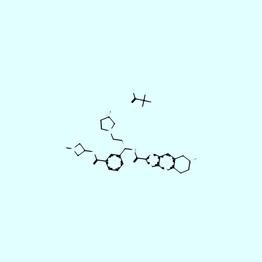 CN1CC(NC(=O)c2cccc([C@@H](CCN3CC[C@@H](C(=O)O)C3)NC(=O)c3nc4cc5c(nc4s3)CC[C@H](C(C)(C)C)C5)c2)C1.O=C(O)C(F)(F)F